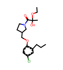 CCCc1cc(Cl)ccc1OCC1CCN(C(=O)C(C)(O)OCC)C1